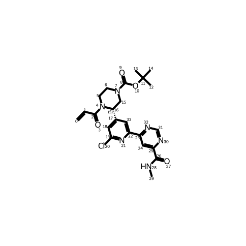 C=CC(=O)N1CCN(C(=O)OC(C)(C)C)C[C@@H]1c1cc(Cl)nc(-c2cc(C(=O)NC)ncn2)c1